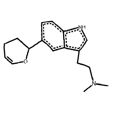 CN(C)CCc1c[nH]c2ccc(C3CCC=CO3)cc12